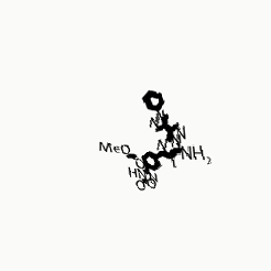 COCCOC1(c2noc(=O)[nH]2)CCC(c2nc3c(-c4cnn(-c5ccccc5)c4)cnn3c(N)c2I)CC1